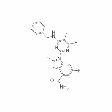 Cc1c(F)nc(-n2c(C)cc3c(C(N)=O)cc(F)cc32)nc1NCc1ccccc1